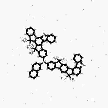 CC1(C)c2cc(N(c3ccc4c(c3)C(C)(C)c3c5c(c6oc7ccccc7c6c3-4)-c3ccccc3C5(C)C)c3ccc4ccccc4c3)ccc2-c2cc3c(cc21)-c1c(ccc2oc4ccccc4c12)C3(C)C